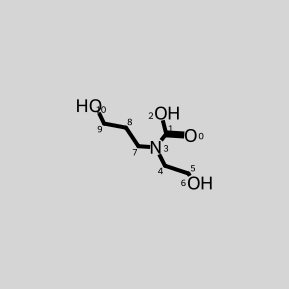 O=C(O)N(CCO)CCCO